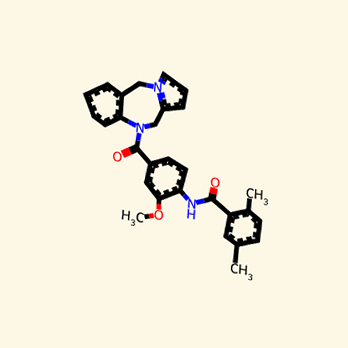 COc1cc(C(=O)N2Cc3cccn3Cc3ccccc32)ccc1NC(=O)c1cc(C)ccc1C